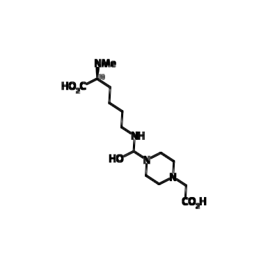 CN[C@@H](CCCCNC(O)N1CCN(CC(=O)O)CC1)C(=O)O